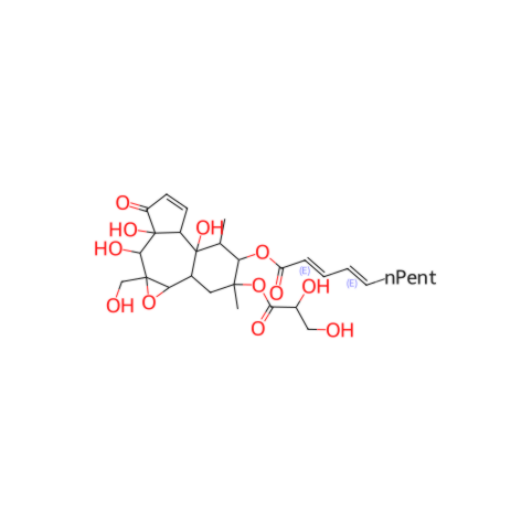 CCCCC/C=C/C=C/C(=O)OC1C(C)C2(O)C(CC1(C)OC(=O)C(O)CO)C1OC1(CO)C(O)C1(O)C(=O)C=CC12